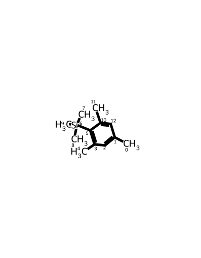 Cc1cc(C)c([Si](C)(C)C)c(C)c1